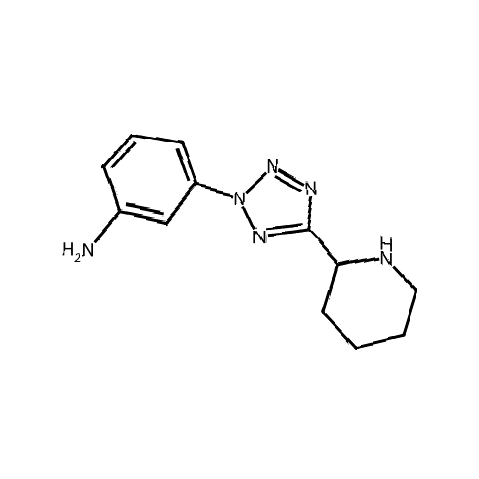 Nc1cccc(-n2nnc(C3CCCCN3)n2)c1